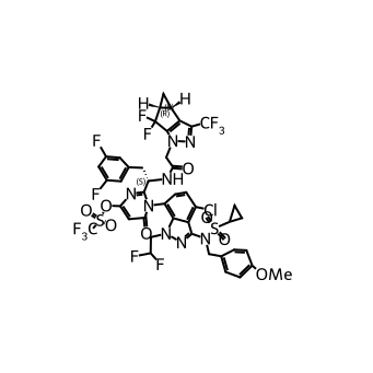 COc1ccc(CN(c2nn(CC(F)F)c3c(-n4c([C@H](Cc5cc(F)cc(F)c5)NC(=O)Cn5nc(C(F)(F)F)c6c5C(F)(F)[C@@H]5C[C@H]65)nc(OS(=O)(=O)C(F)(F)F)cc4=O)ccc(Cl)c23)S(=O)(=O)C2CC2)cc1